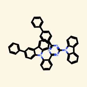 c1ccc(-c2ccc(-c3nc(-c4ccccc4-n4c5ccccc5c5cc(-c6ccccc6)ccc54)nc(-n4c5ccccc5c5ccccc54)n3)cc2)cc1